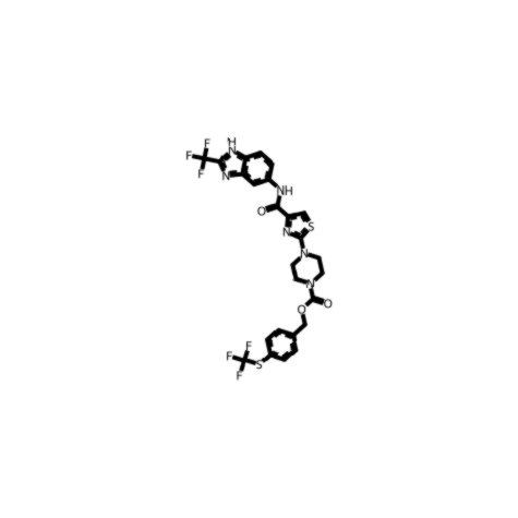 O=C(Nc1ccc2[nH]c(C(F)(F)F)nc2c1)c1csc(N2CCN(C(=O)OCc3ccc(SC(F)(F)F)cc3)CC2)n1